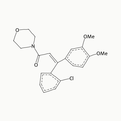 COc1ccc(C(=CC(=O)N2CCOCC2)c2ccccc2Cl)cc1OC